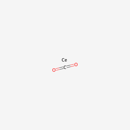 O=C=O.[Ce]